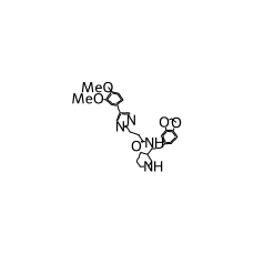 COc1ccc(-c2cnc(CCC(=O)NC(Cc3ccc4c(c3)OCO4)C3CCCNC3)nc2)cc1OC